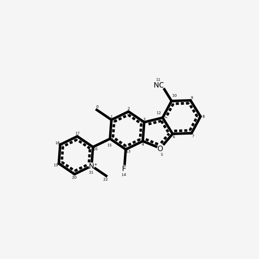 Cc1cc2c(oc3cccc(C#N)c32)c(F)c1-c1cccc[n+]1C